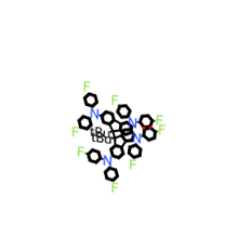 CC(C)(C)C1(C2(C(C)(C)C)c3cc(N(c4ccc(F)cc4)c4ccc(F)cc4)ccc3-c3ccc(N(c4ccc(F)cc4)c4ccc(F)cc4)cc32)c2cc(N(c3ccc(F)cc3)c3ccc(F)cc3)ccc2-c2ccc(N(c3ccc(F)cc3)c3ccc(F)cc3)cc21